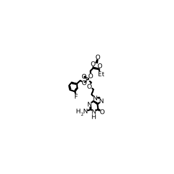 CCc1oc(=O)oc1COP(=O)(COCCn1cnc2c(=O)[nH]c(N)nc21)OCc1cccc(F)c1